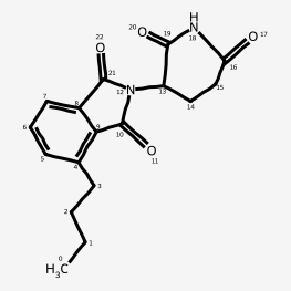 CCCCc1cccc2c1C(=O)N(C1CCC(=O)NC1=O)C2=O